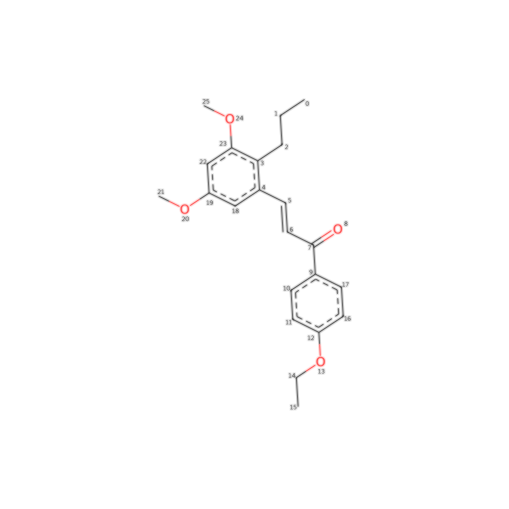 CCCc1c(C=CC(=O)c2ccc(OCC)cc2)cc(OC)cc1OC